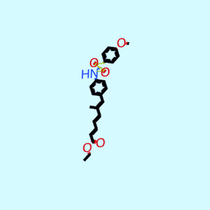 CCOC(=O)/C=C/C=C/C(C)=C/c1ccc(NS(=O)(=O)c2ccc(OC)cc2)cc1